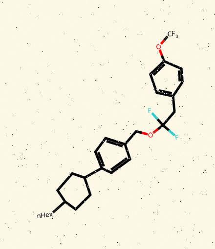 CCCCCCC1CCC(c2ccc(COC(F)(F)Cc3ccc(OC(F)(F)F)cc3)cc2)CC1